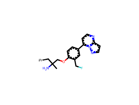 CC(C)CC(C)(N)COc1ccc(-c2ccnc3ccnn23)cc1CF